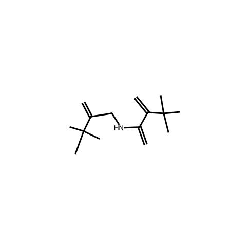 C=C(NCC(=C)C(C)(C)C)C(=C)C(C)(C)C